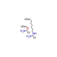 CCCCCCCCCCCCCCCCNC(N)CC.CCCCCCCCCCOC(N)CC